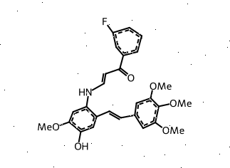 COc1cc(NC=CC(=O)c2cccc(F)c2)c(C=Cc2cc(OC)c(OC)c(OC)c2)cc1O